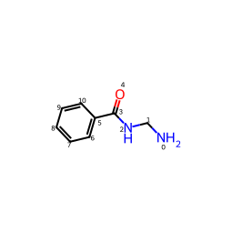 NCNC(=O)c1ccccc1